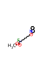 CCOC(=O)/C(F)=C/CCCCCCCOc1ccc2ccccc2n1